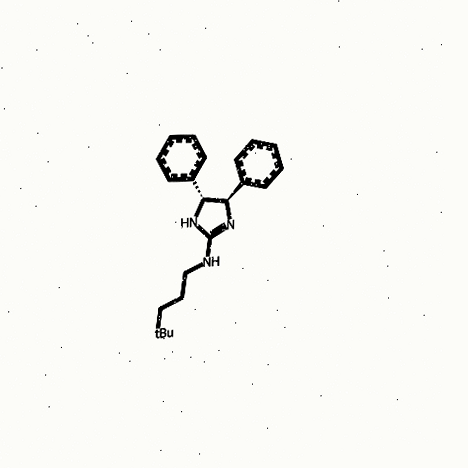 CC(C)(C)CCCNC1=N[C@H](c2ccccc2)[C@@H](c2ccccc2)N1